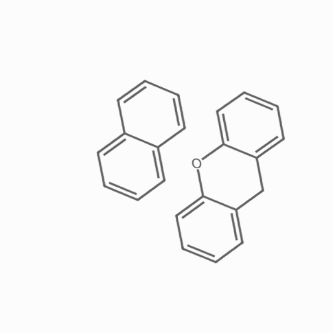 c1ccc2c(c1)Cc1ccccc1O2.c1ccc2ccccc2c1